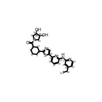 O=C(C1CCCC(c2ncc(-c3cccc(Nc4cc(CI)ccn4)n3)s2)C1)N1C[C@@H](O)[C@@H](O)C1